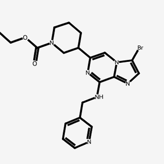 CCOC(=O)N1CCCC(c2cn3c(Br)cnc3c(NCc3cccnc3)n2)C1